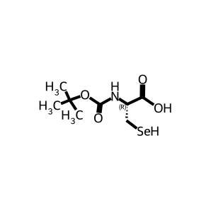 CC(C)(C)OC(=O)N[C@@H](C[SeH])C(=O)O